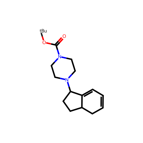 CC(C)(C)OC(=O)N1CCN(C2CCC3CC=CC=C32)CC1